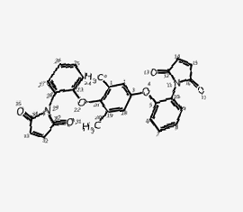 Cc1cc(Oc2ccccc2N2C(=O)C=CC2=O)cc(C)c1Oc1ccccc1N1C(=O)C=CC1=O